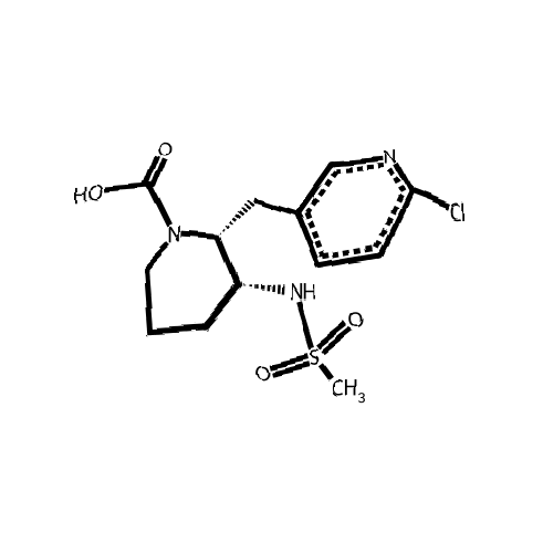 CS(=O)(=O)N[C@@H]1CCCN(C(=O)O)[C@@H]1Cc1ccc(Cl)nc1